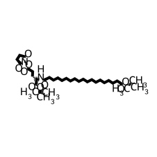 CC(C)(C)OC(=O)CCCCCCCCCCCCCCCCCC(=O)N[C@@H](CCC(=O)ON1C(=O)CCC1=O)C(=O)OC(C)(C)C